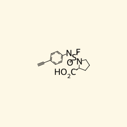 C#Cc1ccc(N=S(=O)(F)N2CCC[C@H]2C(=O)O)cc1